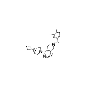 Cc1ccc(C(C)N2CCc3c(ncnc3N3CCN(C4CCC4)CC3)C2)cc1C